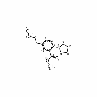 COCCc1ccc(N2CCCC2)c(C(=O)OC)c1